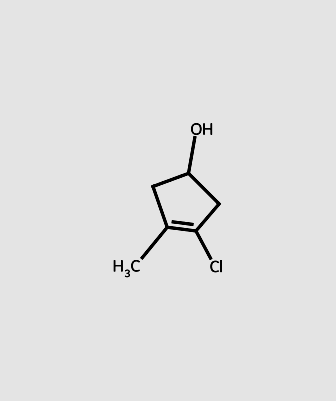 CC1=C(Cl)CC(O)C1